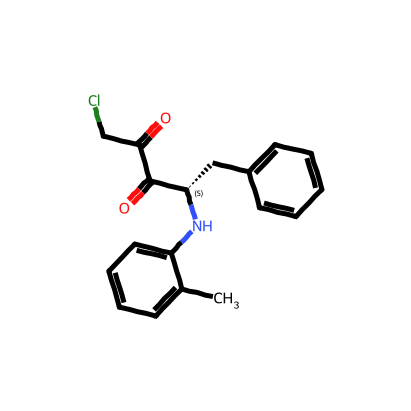 Cc1ccccc1N[C@@H](Cc1ccccc1)C(=O)C(=O)CCl